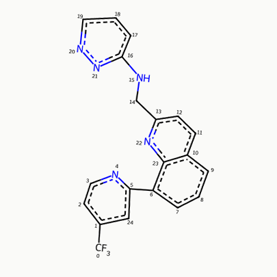 FC(F)(F)c1ccnc(-c2cccc3ccc(CNc4cccnn4)nc23)c1